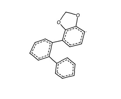 [c]1ccc(-c2ccccc2-c2ccccc2)c2c1OCO2